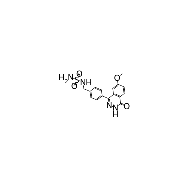 COc1ccc2c(=O)[nH]nc(-c3ccc(CNS(N)(=O)=O)cc3)c2c1